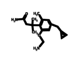 Cc1cc(CC2=CC2)cc(OCN)c1C(C)(C)CC(N)=O